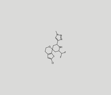 Cn1cc(C2CC3(CC(C(F)F)N2)OCCc2cc(Cl)sc23)nn1